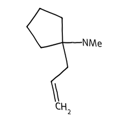 C=CCC1(NC)CCCC1